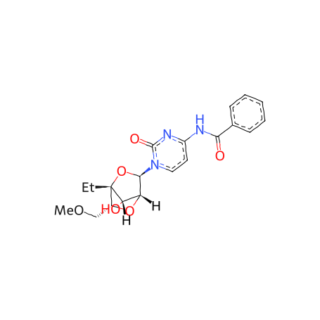 CC[C@]12O[C@@H](n3ccc(NC(=O)c4ccccc4)nc3=O)[C@H](O[C@@H]1COC)[C@@H]2O